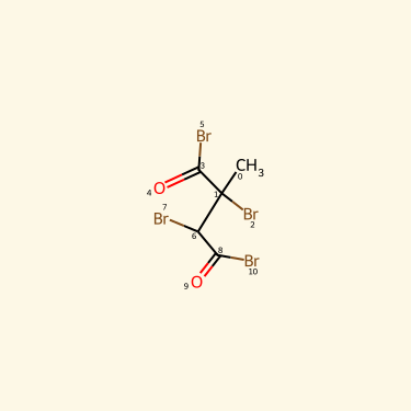 CC(Br)(C(=O)Br)C(Br)C(=O)Br